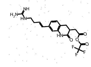 N=C(N)NCCC=Cc1ccc2c(c1)NC(=O)C(CC(=O)OC(=O)C(F)(F)F)C2